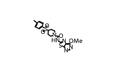 COc1ncnc2sc(NC(=O)N3CCC(S(=O)(=O)c4ccc(C)cc4)CC3)nc12